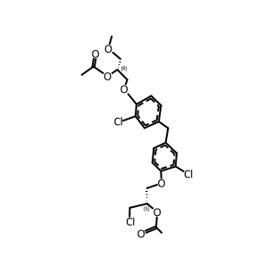 COC[C@H](COc1ccc(Cc2ccc(OC[C@@H](CCl)OC(C)=O)c(Cl)c2)cc1Cl)OC(C)=O